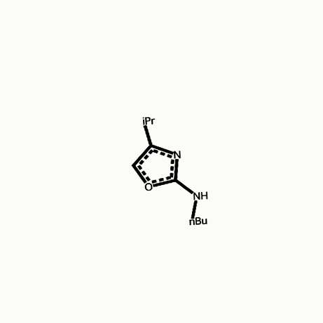 CCCCNc1nc(C(C)C)co1